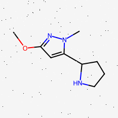 COc1cc(C2CCCN2)n(C)n1